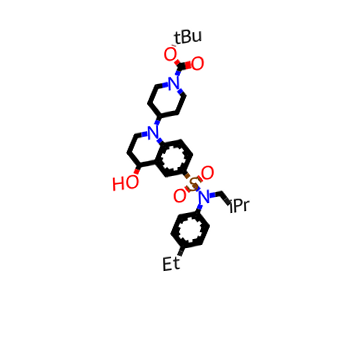 CCc1ccc(N(CC(C)C)S(=O)(=O)c2ccc3c(c2)C(O)CCN3C2CCN(C(=O)OC(C)(C)C)CC2)cc1